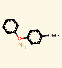 COc1ccc(Oc2ccccc2)cc1.P